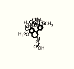 COc1ccc(C2=CC(=NOCC(=O)O)CCc3c2cc(OC)c(OC)c3OC)cc1O[Si](C)(C)C(C)(C)C